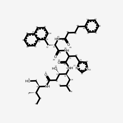 CC[C@H](C)[C@@H](CO)NC(=O)C[C@H](O)[C@H](CC(C)C)NC(=O)C(Cc1cscn1)NC(=O)[C@H](Cc1cccc2ccccc12)NC(=O)CCCc1ccccc1